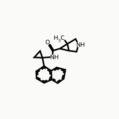 CC12CNCC1C2C(=O)NC1(c2cccc3ccccc23)CC1